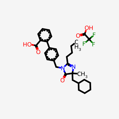 CCCCC1=NC(C)(CC2CCCCC2)C(=O)N1Cc1ccc(-c2ccccc2C(=O)O)cc1.O=C(O)C(F)(F)F